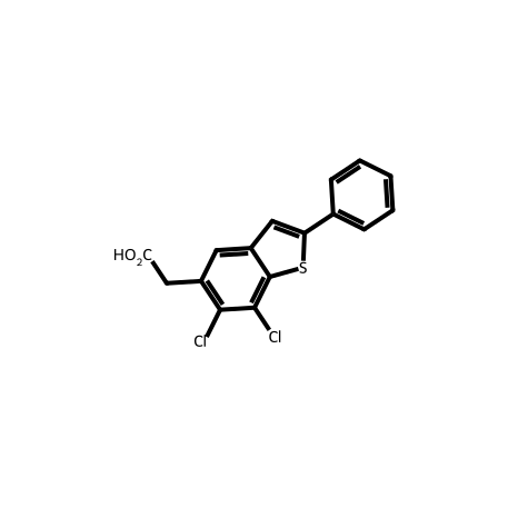 O=C(O)Cc1cc2cc(-c3ccccc3)sc2c(Cl)c1Cl